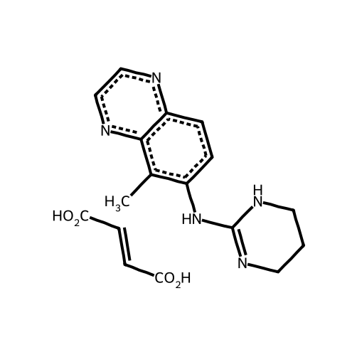 Cc1c(NC2=NCCCN2)ccc2nccnc12.O=C(O)/C=C/C(=O)O